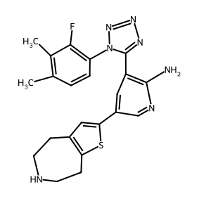 Cc1ccc(-n2nnnc2-c2cc(-c3cc4c(s3)CCNCC4)cnc2N)c(F)c1C